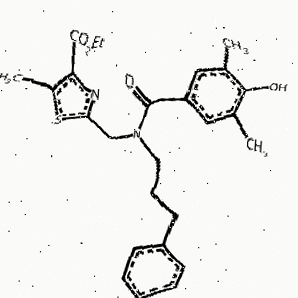 CCOC(=O)c1nc(CN(CCCc2ccccc2)C(=O)c2cc(C)c(O)c(C)c2)sc1C